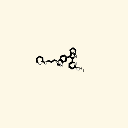 Cc1cccc(-c2nn3c(c2-c2ccc4c(c2)ncn4CCCOC2CCCCO2)CCC3)n1